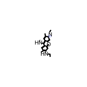 CC/N=c1/cc2oc3cc(NCC)c(C)cc3c(NC)c-2cc1C